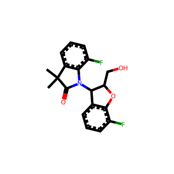 CC1(C)C(=O)N(C2c3cccc(F)c3OC2CO)c2c(F)cccc21